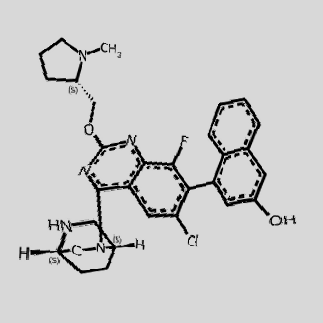 CN1CCC[C@H]1COc1nc(N2C[C@@H]3CC[C@H]2CN3)c2cc(Cl)c(-c3cc(O)cc4ccccc34)c(F)c2n1